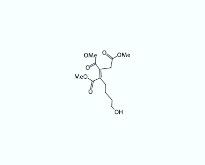 COC(=O)C/C(C(=O)OC)=C(\CCCCO)C(=O)OC